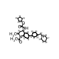 CC(=O)N1c2ccc(-c3ccc(CN4CCCCC4)cc3)cc2C(NC(=O)OC2CCCC2)C[C@H]1C